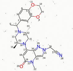 CC(c1ccc2c(c1)OCCO2)N1C[C@H](C)N(c2cc(=O)n(C)c3cn(CC#N)nc23)C[C@H]1C